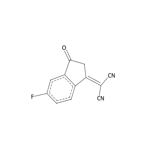 N#CC(C#N)=C1CC(=O)c2cc(F)ccc21